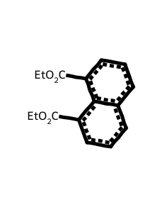 CCOC(=O)c1cccc2cccc(C(=O)OCC)c12